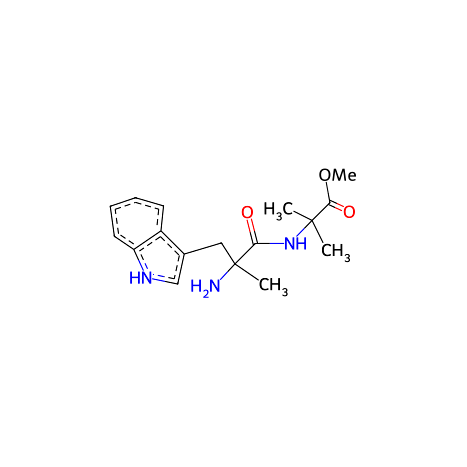 COC(=O)C(C)(C)NC(=O)C(C)(N)Cc1c[nH]c2ccccc12